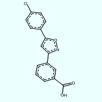 O=C(O)c1cccc(-c2cc(-c3ccc(Cl)cc3)on2)c1